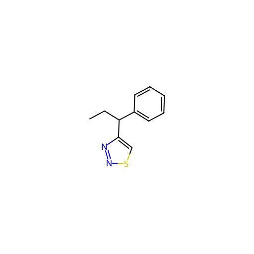 CCC(c1ccccc1)c1csnn1